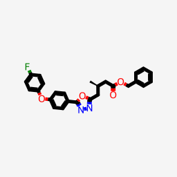 C[C@@H](CC(=O)OCc1ccccc1)Cc1nnc(-c2ccc(Oc3ccc(F)cc3)cc2)o1